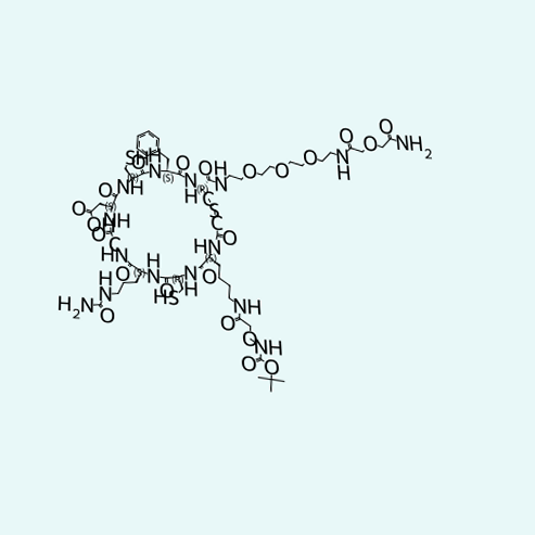 CC(C)(C)OC(=O)NOCC(=O)NCCCC[C@@H]1NC(=O)CSC[C@@H](C(=O)NCCOCCOCCOCCNC(=O)COCC(N)=O)NC(=O)[C@H](Cc2ccccc2)NC(=O)[C@H](CS)NC(=O)[C@H](CC(=O)O)NC(=O)CNC(=O)[C@H](CCCNC(N)=O)NC(=O)[C@H](CS)NC1=O